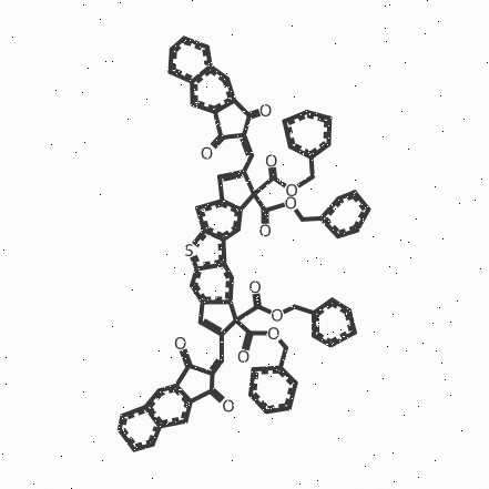 O=C1C(=CC2=Cc3cc4sc5cc6c(cc5c4cc3C2(C(=O)OCc2ccccc2)C(=O)OCc2ccccc2)C(C(=O)OCc2ccccc2)(C(=O)OCc2ccccc2)C(C=C2C(=O)c3cc4ccccc4cc3C2=O)=C6)C(=O)c2cc3ccccc3cc21